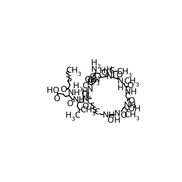 CSSCCC(=O)NC(CCC(=O)O)C(=O)NC(CC(C)C)C(=O)N[C@H]1CSSCCNC(=O)CNC(=O)C(C(C)O)NC(=O)CNC(=O)C(C)NC(=O)C(C(C)C)NC(=O)C(CC(N)=O)NC(=O)C(C(C)C)NC1=O